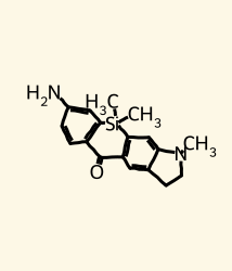 CN1CCc2cc3c(cc21)[Si](C)(C)c1cc(N)ccc1C3=O